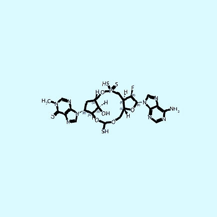 Cn1cnc2c(ncn2[C@@H]2C[C@@H]3OP(=S)(S)C[C@H]4[C@@H](F)[C@H](n5cnc6c(N)ncnc65)O[C@@H]4COC(S)O[C@@H]2[C@@H]3O)c1=O